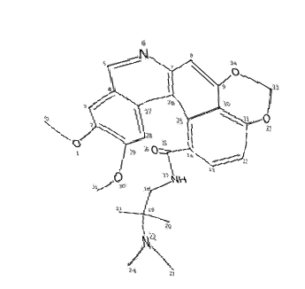 COc1cc2cnc3cc4c5c(ccc(C(=O)NCC(C)(C)N(C)C)c5c3c2cc1OC)OCO4